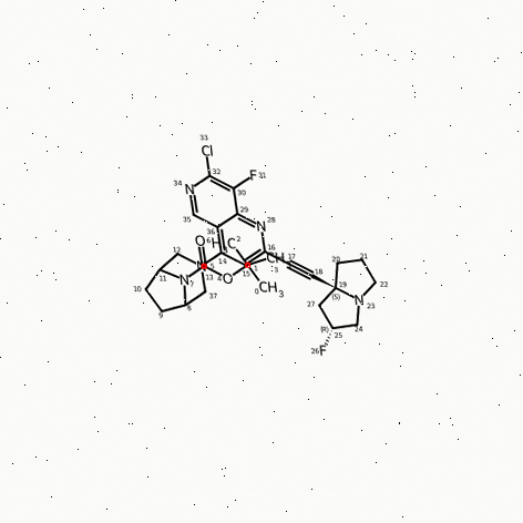 CC(C)(C)OC(=O)N1C2CCC1CN(c1cc(C#C[C@@]34CCCN3C[C@H](F)C4)nc3c(F)c(Cl)ncc13)C2